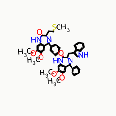 COc1cc2c(cc1OC)C(c1ccccc1)=NC(CCSC)C(=O)N2.COc1cc2c(cc1OC)C(c1ccccc1)=NC(Cc1c[nH]c3ccccc13)C(=O)N2